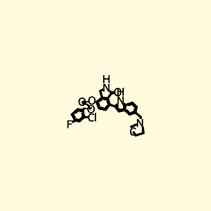 O=C1NCc2c(OS(=O)(=O)c3ccc(F)cc3Cl)ccc(-c3cc4cc(CN5CCCCC5)ccc4[nH]3)c21